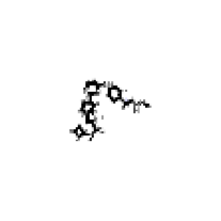 C=NN/C=C(\C)c1ccc(Nc2ccnc(-c3ccc4cc(C(=O)N(C)C5CCC5)[nH]c4c3)n2)cc1